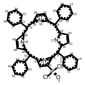 O=P(Cl)(Cl)c1cc2[nH]c1c(-c1ccccc1)c1nc(c(-c3ccccc3)c3ccc([nH]3)c(-c3ccccc3)c3nc(c2-c2ccccc2)C=C3)C=C1